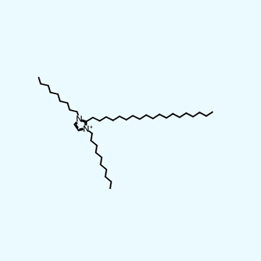 CCCCCCCCCCCCCCCCCCCc1n(CCCCCCCCC)cc[n+]1CCCCCCCCCC